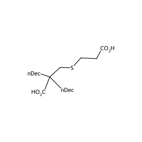 CCCCCCCCCCC(CCCCCCCCCC)(CSCCC(=O)O)C(=O)O